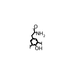 N[C@H]([C]=O)Cc1cc(I)c(O)c(I)c1